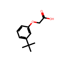 CC(C)(C)c1cccc(OCC(=O)O)c1